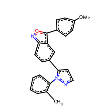 COc1ccc(-c2onc3ccc(-c4ccnn4-c4ccccc4C)cc23)cc1